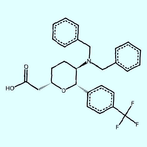 O=C(O)C[C@@H]1CC[C@@H](N(Cc2ccccc2)Cc2ccccc2)[C@H](c2ccc(C(F)(F)F)cc2)O1